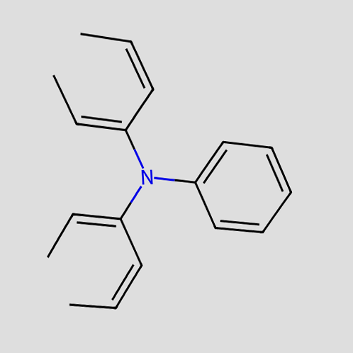 C/C=C\C(=C/C)N(C(/C=C\C)=C/C)c1ccccc1